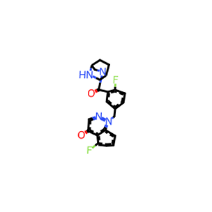 O=C(c1cc(Cn2ncc(=O)c3c(F)cccc32)ccc1F)N1CC2CCC1CN2